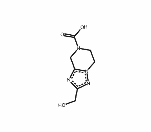 O=C(O)N1CCn2nc(CO)nc2C1